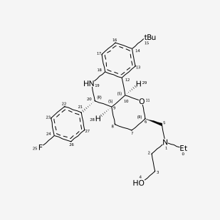 CCN(CCO)C[C@H]1CC[C@@H]2[C@H](O1)c1cc(C(C)(C)C)ccc1N[C@H]2c1ccc(F)cc1